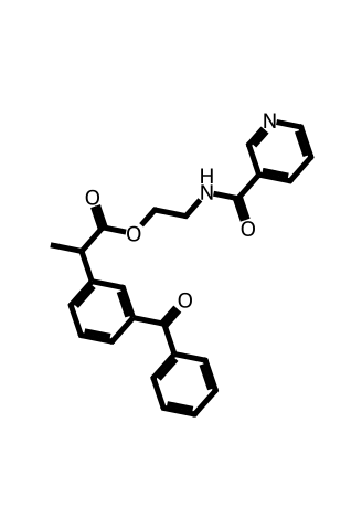 CC(C(=O)OCCNC(=O)c1cccnc1)c1cccc(C(=O)c2ccccc2)c1